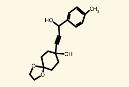 Cc1ccc(C(O)C#CC2(O)CCC3(CC2)OCCO3)cc1